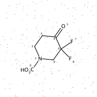 O=C(O)N1CCC(=O)C(F)(F)C1